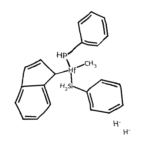 [CH3][Hf]([SiH2]c1ccccc1)([PH]c1ccccc1)[CH]1C=Cc2ccccc21.[H-].[H-]